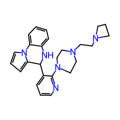 c1ccc2c(c1)NC(c1cccnc1N1CCN(CCN3CCC3)CC1)c1cccn1-2